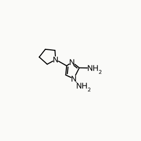 Nc1nc(N2CCCC2)cn1N